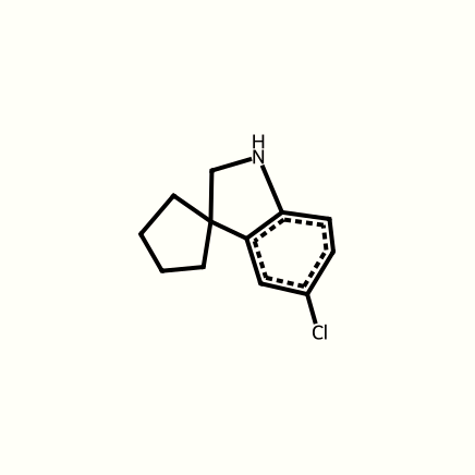 Clc1ccc2c(c1)C1(CCCC1)CN2